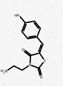 CCCc1ccc(C=C2SC(=O)N(CCN)C2=O)cc1